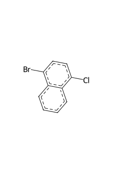 Clc1ccc(Br)c2ccccc12